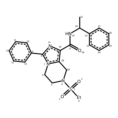 CCS(=O)(=O)N1CCn2c(-c3ccccc3)nc(C(=O)NC(C)c3ccccc3)c2C1